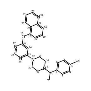 CC(c1ccc(F)cc1)N1CCN(c2cc(Oc3cccc4ncccc34)ncn2)CC1